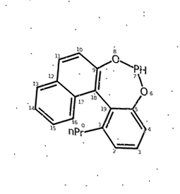 CCCc1cccc2o[pH]oc3ccc4ccccc4c3c12